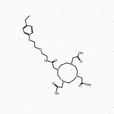 CCc1ccc(OCCOCCNC(=O)CN2CCN(CC(=O)O)CCN(CC(=O)O)CCN(CC(=O)O)CC2)cc1